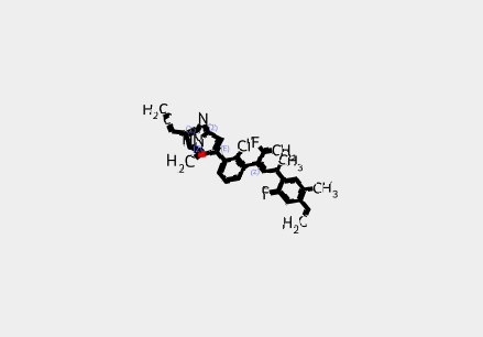 C=C=CC1=C\N=C(NC=C)\C=C(c2cccc(/C(=C/C(C)c3cc(C)c(C=C)cc3F)C(=C)F)c2Cl)/C=C\1